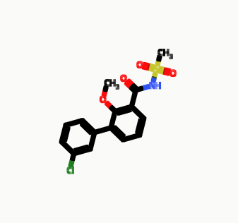 COc1c(C(=O)NS(C)(=O)=O)cccc1-c1cccc(Cl)c1